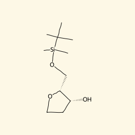 CC(C)(C)[Si](C)(C)OC[C@H]1OCC[C@H]1O